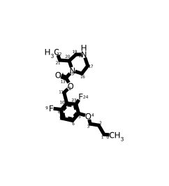 CCCCOc1ccc(F)c(COC(=O)N2CCNCC2CC)c1F